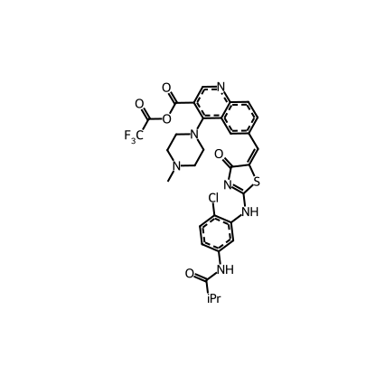 CC(C)C(=O)Nc1ccc(Cl)c(NC2=NC(=O)C(=Cc3ccc4ncc(C(=O)OC(=O)C(F)(F)F)c(N5CCN(C)CC5)c4c3)S2)c1